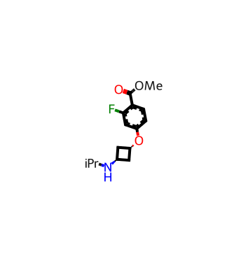 COC(=O)c1ccc(O[C@H]2C[C@H](NC(C)C)C2)cc1F